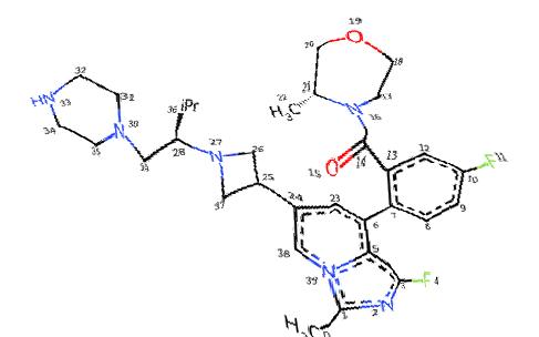 Cc1nc(F)c2c(-c3ccc(F)cc3C(=O)N3CCOC[C@H]3C)cc(C3CN([C@@H](CN4CCNCC4)C(C)C)C3)cn12